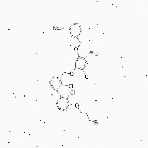 N#Cc1cccc(COc2cc(OCc3cccc(-c4cccc(OCCCBr)c4Cl)c3Cl)c(Cl)cc2C=O)c1